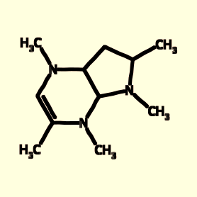 CC1=CN(C)C2CC(C)N(C)C2N1C